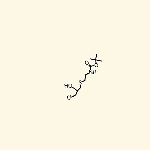 CC(C)(C)OC(=O)NCCSCC(O)CCl